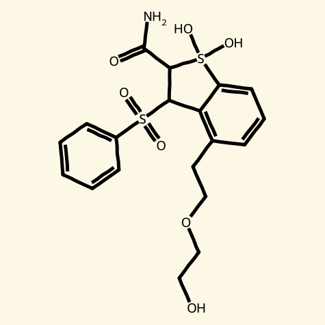 NC(=O)C1C(S(=O)(=O)c2ccccc2)c2c(CCOCCO)cccc2S1(O)O